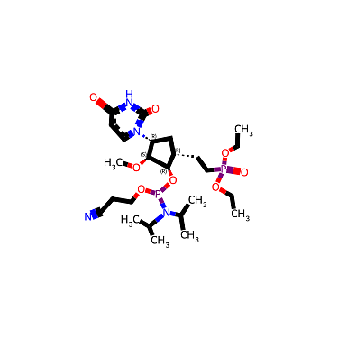 CCOP(=O)(CC[C@H]1C[C@@H](n2ccc(=O)[nH]c2=O)[C@H](OC)[C@@H]1OP(OCCC#N)N(C(C)C)C(C)C)OCC